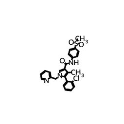 Cc1c(C(=O)Nc2ccc(S(C)(=O)=O)cc2)cn(Cc2ccccn2)c1-c1ccccc1Cl